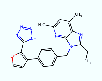 CCc1nc2c(C)cc(C)nc2n1Cc1ccc(-c2ccoc2-c2nnn[nH]2)cc1